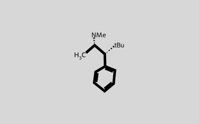 CN[C@@H](C)[C@@H](c1ccccc1)C(C)(C)C